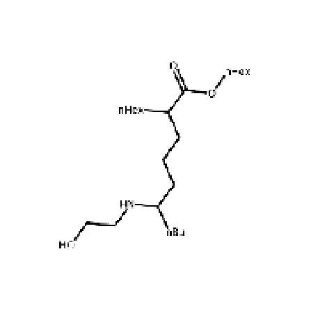 CCCCCCOC(=O)C(CCCCCC)CCCC(CCCC)NCCO